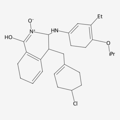 CCC1=C(OC(C)C)CCC(NC2C(CC3=CCC(Cl)CC3)C3=C(CCC=C3)C(O)=[N+]2[O-])=C1